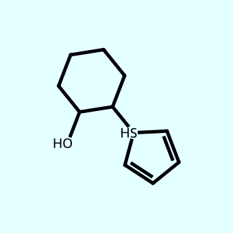 OC1CCCCC1[SH]1C=CC=C1